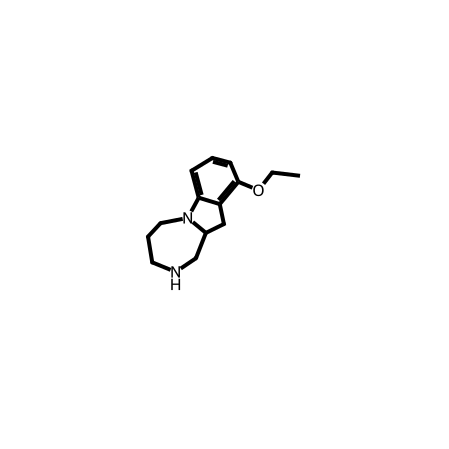 CCOc1cccc2c1CC1CNCCCN21